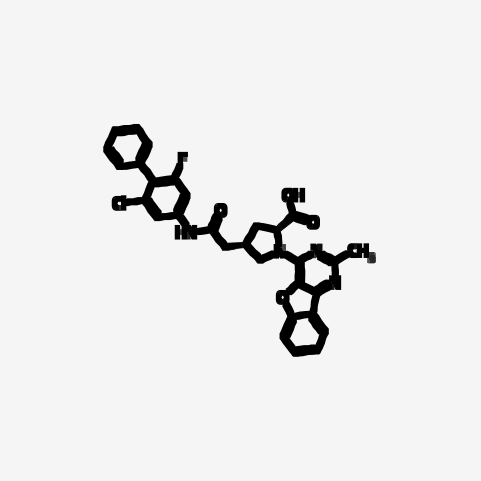 Cc1nc(N2C[C@@H](CC(=O)Nc3cc(F)c(-c4ccccc4)c(Cl)c3)C[C@H]2C(=O)O)c2oc3ccccc3c2n1